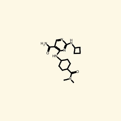 CN(C)C(=O)C1CCC(Nc2nc(NC3CCC3)ncc2C(N)=O)CC1